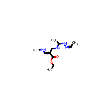 C/C=N\NC(C)NC/C(=C\NC)C(=O)OCC